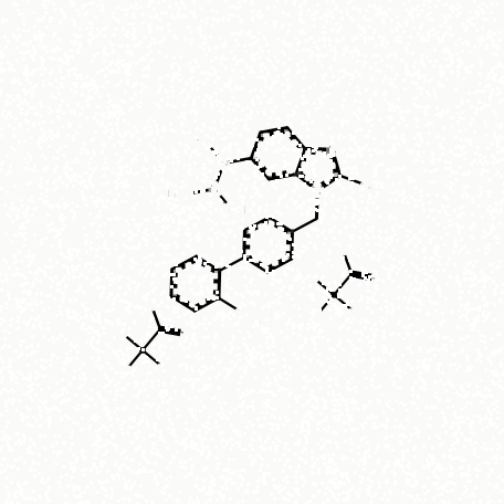 CCCCc1nc2ccc(N(C(C)=O)N(C)C)cc2n1Cc1ccc(-c2ccccc2C(=O)O)cc1.O=C(O)C(F)(F)F.O=C(O)C(F)(F)F